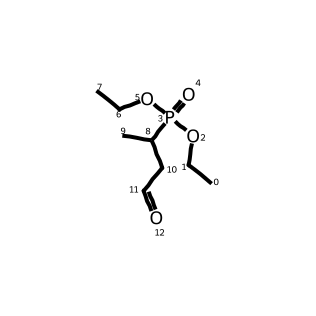 CCOP(=O)(OCC)C(C)CC=O